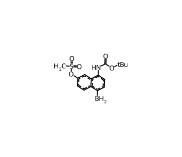 Bc1ccc(NC(=O)OC(C)(C)C)c2cc(OS(C)(=O)=O)ccc12